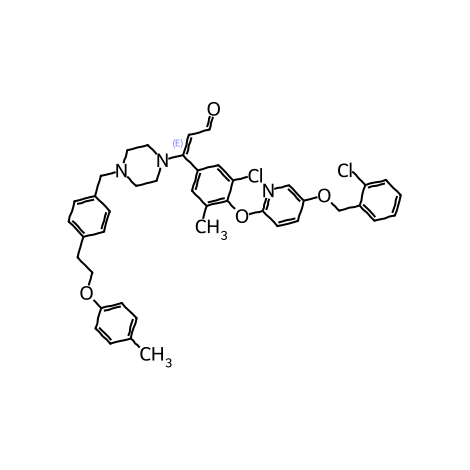 Cc1ccc(OCCc2ccc(CN3CCN(/C(=C/C=O)c4cc(C)c(Oc5ccc(OCc6ccccc6Cl)cn5)c(Cl)c4)CC3)cc2)cc1